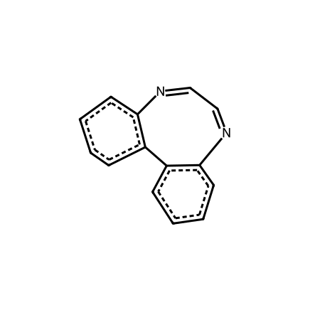 C1=Nc2ccccc2-c2ccccc2N=C1